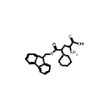 NC(CC(C(=O)OCC1c2ccccc2-c2ccccc21)C1CCCCC1)C(=O)O